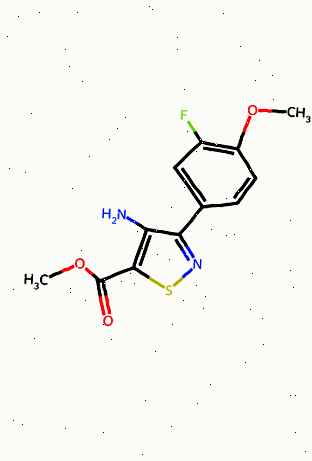 COC(=O)c1snc(-c2ccc(OC)c(F)c2)c1N